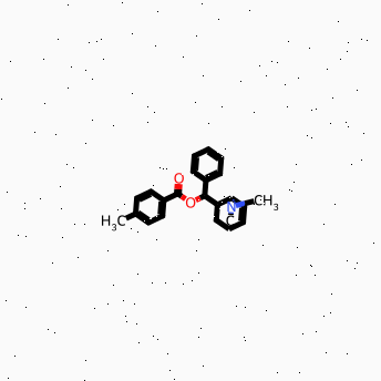 Cc1ccc(C(=O)OC(c2ccccc2)C2CC3C=CC2N(C)C3)cc1